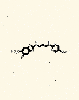 CSc1cnc(NCCCNc2nc3cc(F)c(C(=O)O)cc3s2)nc1